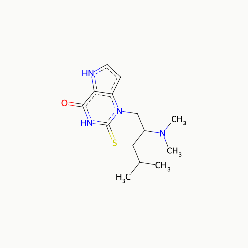 CC(C)CC(Cn1c(=S)[nH]c(=O)c2[nH]ccc21)N(C)C